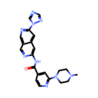 CN1CCN(c2cc(C(=O)Nc3cc4cc(-n5cncn5)ncc4cn3)ccn2)CC1